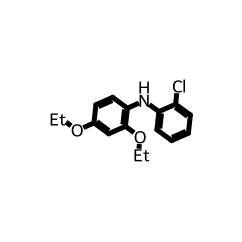 CCOc1ccc(Nc2ccccc2Cl)c(OCC)c1